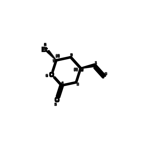 C=C[C@H]1CC(=O)O[C@H](CC)C1